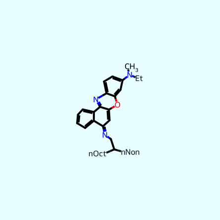 CCCCCCCCCC(CCCCCCCC)C/N=c1\cc2oc3cc(N(C)CC)ccc3nc-2c2ccccc12